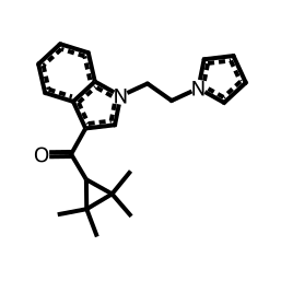 CC1(C)C(C(=O)c2cn(CCn3cccc3)c3ccccc23)C1(C)C